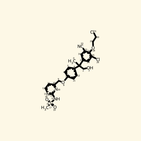 CC(CO)(c1ccc(OCc2ccnc(NS(C)(=O)=O)n2)cc1)c1cc(Cl)c(OCCCl)c(C#N)c1